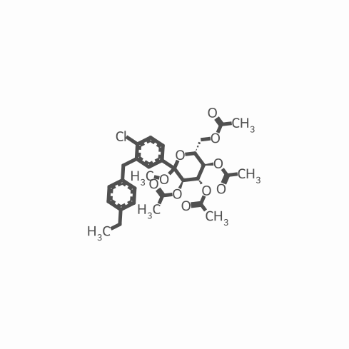 CCc1ccc(Cc2cc(C3(OC)O[C@H](COC(C)=O)[C@@H](OC(C)=O)[C@H](OC(C)=O)[C@H]3OC(C)=O)ccc2Cl)cc1